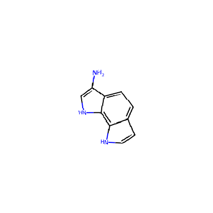 Nc1c[nH]c2c1ccc1cc[nH]c12